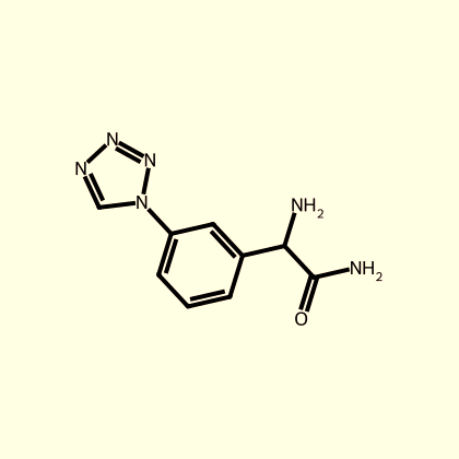 NC(=O)C(N)c1cccc(-n2cnnn2)c1